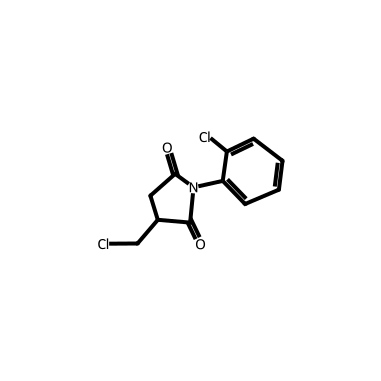 O=C1CC(CCl)C(=O)N1c1ccccc1Cl